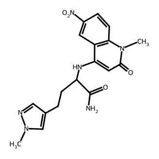 Cn1cc(CCC(Nc2cc(=O)n(C)c3ccc([N+](=O)[O-])cc23)C(N)=O)cn1